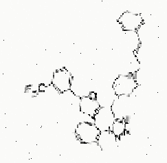 Cc1cccc(C)c1-n1nnnc1C(c1ccc(-c2cccc(C(F)(F)F)c2)o1)N1CCN(CC=Cc2ccccc2)CC1